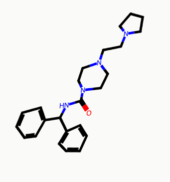 O=C(NC(c1ccccc1)c1ccccc1)N1CCN(CCN2CCCC2)CC1